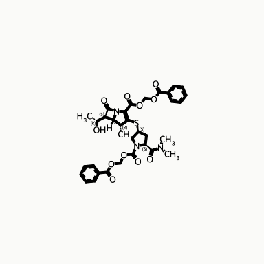 C[C@@H](O)[C@H]1C(=O)N2C(C(=O)OCOC(=O)c3ccccc3)=C(S[C@H]3C[C@@H](C(=O)N(C)C)N(C(=O)OCOC(=O)c4ccccc4)C3)[C@H](C)[C@H]12